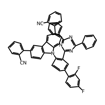 N#Cc1ccccc1-c1ccc2c(c1)c1cc(-c3ccccc3C#N)ccc1n2-c1ccc(-c2ccc(F)cc2F)cc1-c1nc(-c2ccccc2)nc(-c2ccccc2)n1